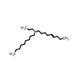 CCC/C=C/CCCCN(CCC)CCCCCCCCC